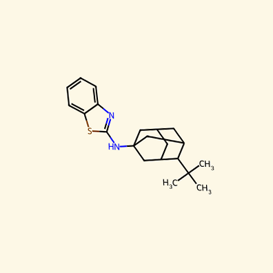 CC(C)(C)C1C2CC3CC1CC(Nc1nc4ccccc4s1)(C3)C2